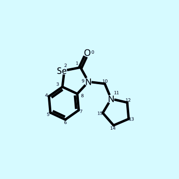 O=c1[se]c2ccccc2n1CN1CCCC1